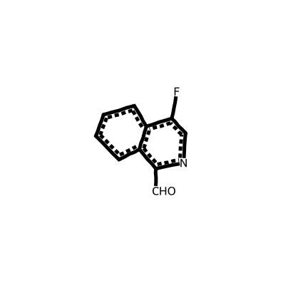 O=Cc1ncc(F)c2ccccc12